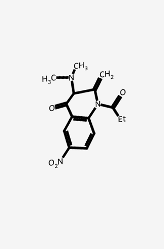 C=C1C(N(C)C)C(=O)c2cc([N+](=O)[O-])ccc2N1C(=O)CC